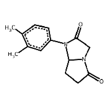 Cc1ccc(N2C(=O)CN3C(=O)CCC32)cc1C